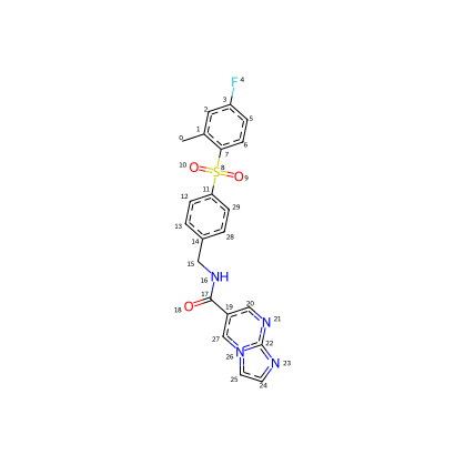 Cc1cc(F)ccc1S(=O)(=O)c1ccc(CNC(=O)c2cnc3nccn3c2)cc1